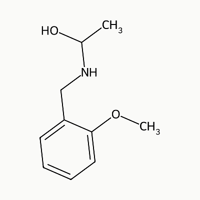 COc1ccccc1CNC(C)O